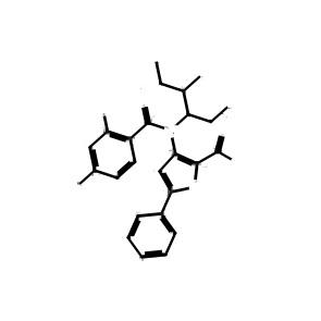 CCC(C)C(CC)N(C(=O)c1ccc(Cl)cc1Cl)c1cc(-c2ccccc2)sc1C(=O)O